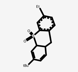 CCc1ccc2c(c1)S(=O)(=O)C1C=C(C(C)(C)C)C=CC1C2